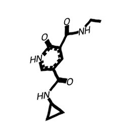 CCNC(=O)c1cc(C(=O)NC2CC2)c[nH]c1=O